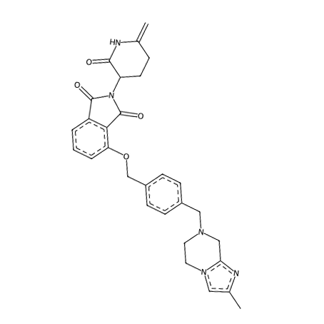 C=C1CCC(N2C(=O)c3cccc(OCc4ccc(CN5CCn6cc(C)nc6C5)cc4)c3C2=O)C(=O)N1